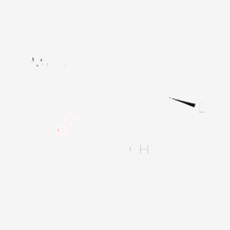 CC[C@@H]1C[C@]1(C)C(=O)OC